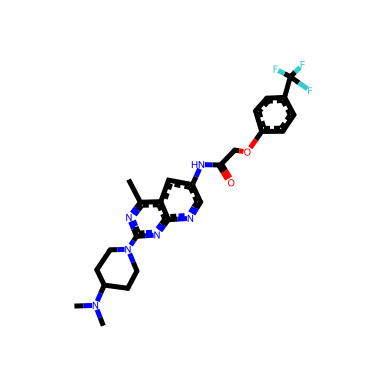 Cc1nc(N2CCC(N(C)C)CC2)nc2ncc(NC(=O)COc3ccc(C(F)(F)F)cc3)cc12